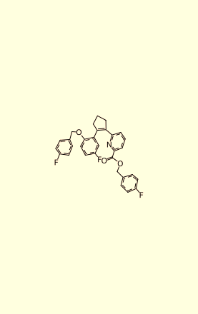 O=C(OCc1ccc(F)cc1)c1cccc(C2=C(c3cc(F)ccc3OCc3ccc(F)cc3)CCC2)n1